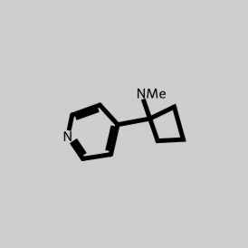 CNC1(c2ccncc2)CCC1